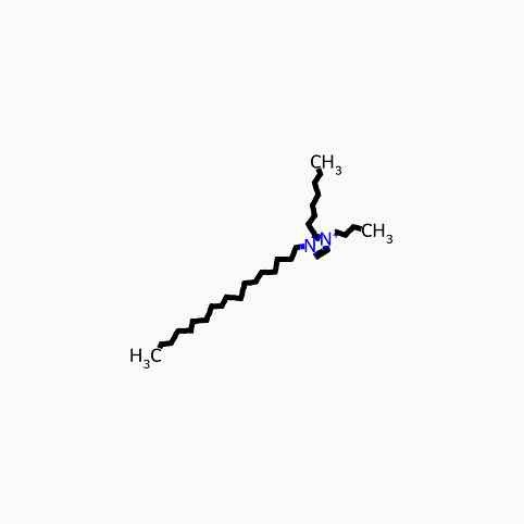 CCCCCCCCCCCCCCCCCCn1cc[n+](CCCC)c1CCCCCCC